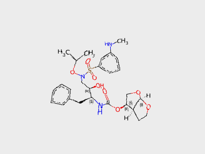 CNc1cccc(S(=O)(=O)N(C[C@@H](O)[C@H](Cc2ccccc2)NC(=O)O[C@H]2CO[C@H]3OCC[C@H]32)OC(C)C)c1